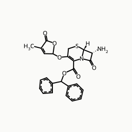 CC1=CC(OC2=C(C(=O)OC(c3ccccc3)c3ccccc3)N3C(=O)[C@@H](N)[C@H]3SC2)OC1=O